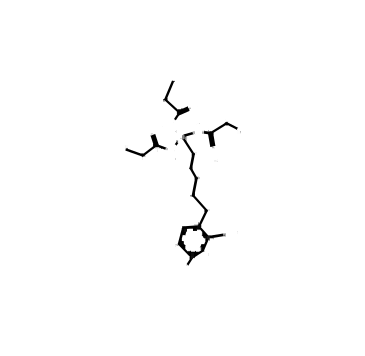 CCC(=O)O[Si](CCCCCc1ccc(F)cc1F)(OC(=O)CC)OC(=O)CC